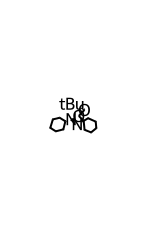 CC(C)(C)OOC1(N=NC2CCCCC2)CCCCC1